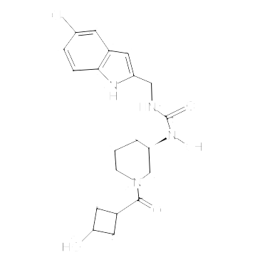 CN(C(=O)NCc1cc2cc(Cl)ccc2[nH]1)[C@@H]1CCCN(C(=O)C2CC(O)C2)C1